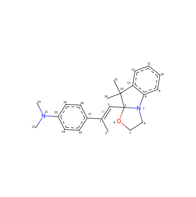 C/C(=C\C12OCCN1c1ccccc1C2(C)C)c1ccc(N(C)C)cc1